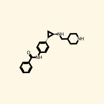 O=C(Nc1ccc([C@@H]2C[C@H]2NCC2CCNCC2)cc1)c1ccccc1